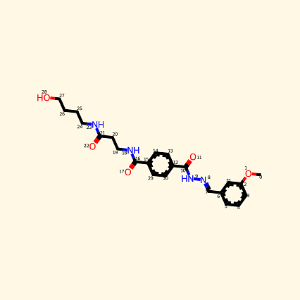 COc1cccc(C=NNC(=O)c2ccc(C(=O)NCCC(=O)NCCCCO)cc2)c1